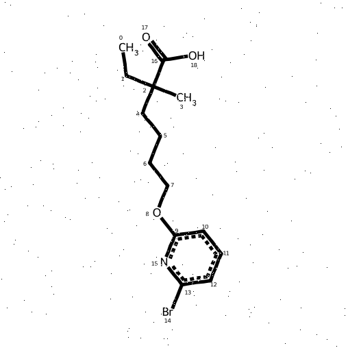 CCC(C)(CCCCOc1cccc(Br)n1)C(=O)O